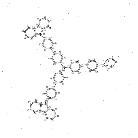 C1=CC2CC1CC2c1ccc(-c2ccc(N(c3ccc(-c4ccc(-n5c6ccccc6c6ccccc65)cc4)cc3)c3ccc(-c4ccc(-n5c6ccccc6c6ccccc65)cc4)cc3)cc2)cc1